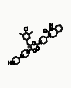 Cc1cc(C[C@@H](OC(=O)N2CCC(N3CCc4ccccc4NC3=O)CC2)C(=O)N2CCN(C3CCNCC3)CC2)cc(C)c1Cl